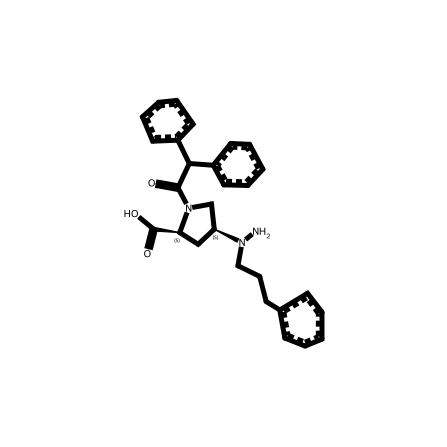 NN(CCCc1ccccc1)[C@H]1C[C@@H](C(=O)O)N(C(=O)C(c2ccccc2)c2ccccc2)C1